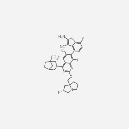 N#Cc1c(N)sc2c(F)ccc(-c3c(Cl)cc4c(N5CC6CCC(C(=O)O)(C6)C5)nc(OC[C@@]56CCCN5C[C@H](F)C6)nc4c3F)c12